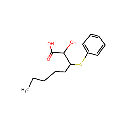 CCCCCC(Sc1ccccc1)C(O)C(=O)O